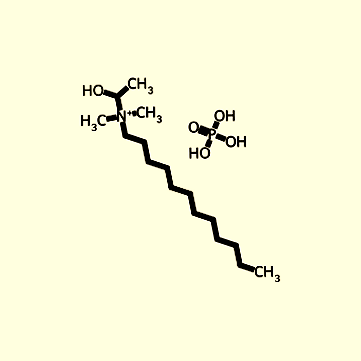 CCCCCCCCCCCC[N+](C)(C)C(C)O.O=P(O)(O)O